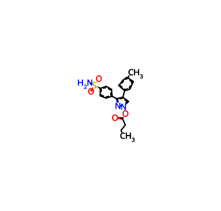 CCCC(=O)On1cc(-c2ccc(C)cc2)c(-c2ccc(S(N)(=O)=O)cc2)n1